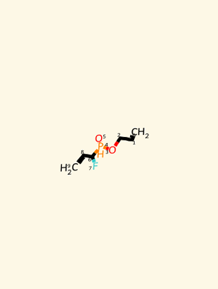 C=CCO[PH](=O)C(F)C=C